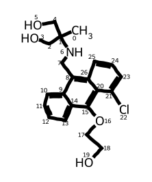 CC(CO)(CO)NCc1c2ccccc2c(OCCO)c2c(Cl)cccc12